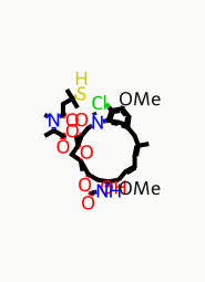 COc1cc2cc(c1Cl)N(C)C(=O)C(OC(=O)C(C)N(C)C(=O)CC(C)(C)S)C1(C)CC(C)(O1)C1CC(O)(NC(=O)O1)C(OC)/C=C/C=C(\C)C2